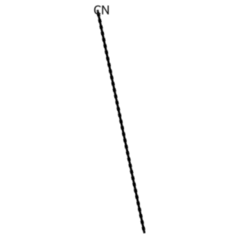 CC#CC#CC#CC#CC#CC#CC#CC#CC#CC#CC#CC#CC#CC#CC#CC#CC#CC#CC#CC#CC#CC#CC#CC#CC#CC#CC#CC#CC#CC#CC#CC#CC#CC#CC#CC#N